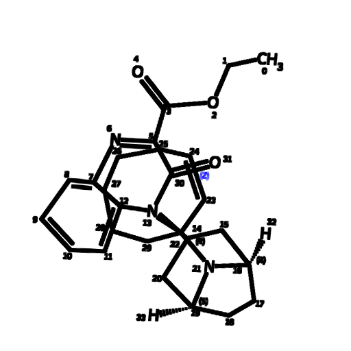 CCOC(=O)c1nc2ccccc2n([C@H]2C[C@H]3CC[C@@H](C2)N3C2/C=C\CCCCC2)c1=O